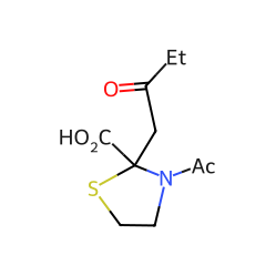 CCC(=O)CC1(C(=O)O)SCCN1C(C)=O